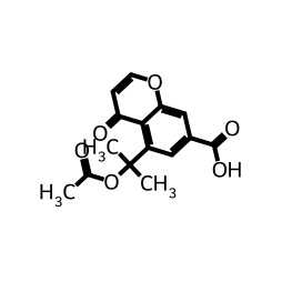 CC(=O)OC(C)(C)c1cc(C(=O)O)cc2occc(=O)c12